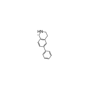 [C]1NCCc2cc(-c3ccccc3)ccc21